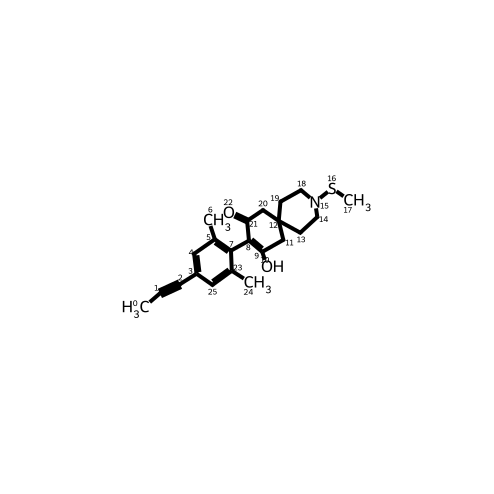 CC#Cc1cc(C)c(C2=C(O)CC3(CCN(SC)CC3)CC2=O)c(C)c1